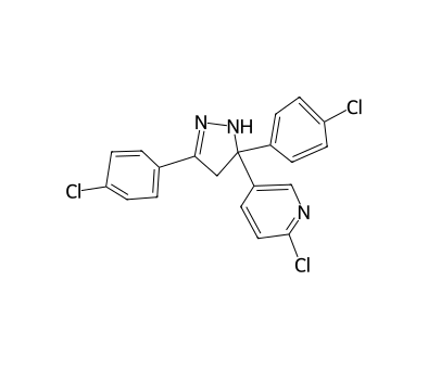 Clc1ccc(C2=NNC(c3ccc(Cl)cc3)(c3ccc(Cl)nc3)C2)cc1